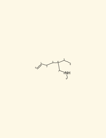 C=CCCC(CC)CNC